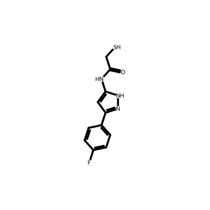 O=C(CS)Nc1cc(-c2ccc(F)cc2)n[nH]1